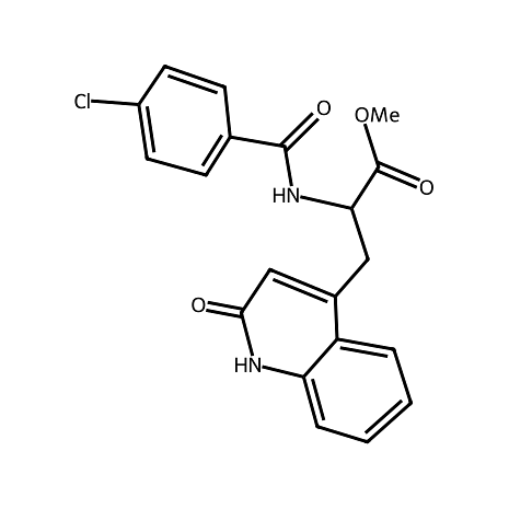 COC(=O)C(Cc1cc(=O)[nH]c2ccccc12)NC(=O)c1ccc(Cl)cc1